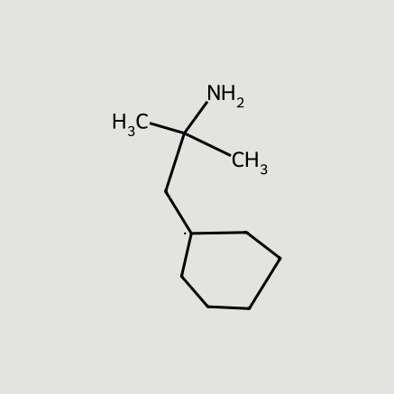 CC(C)(N)C[C]1CCCCC1